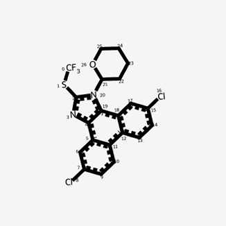 FC(F)(F)Sc1nc2c3cc(Cl)ccc3c3ccc(Cl)cc3c2n1C1CCCCO1